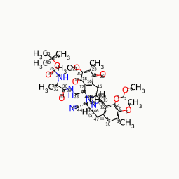 COCOc1c(OC)c(C)cc2c1[C@@H]1C3CC4=C(C(=O)C(OC)=C(C)C4=O)[C@H](CNC(=O)C(C)NC(=O)OC(C)(C)C)N3[C@@H](C#N)[C@H](C2)N1C